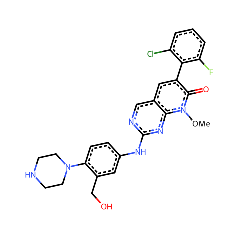 COn1c(=O)c(-c2c(F)cccc2Cl)cc2cnc(Nc3ccc(N4CCNCC4)c(CO)c3)nc21